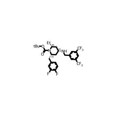 CC[C@@H]1C[C@H](NCc2cc(C(F)(F)F)cc(C(F)(F)F)c2)C[C@H](Cc2ccc(F)c(F)c2)N1C(=O)OC(C)(C)C